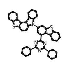 c1ccc(-c2nc(-c3ccccc3)nc(-c3cc(-n4c5ccccc5c5c6c(ccc54)sc4ccccc46)cc4sc5ccccc5c34)n2)cc1